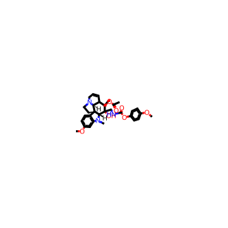 CC[C@]12C=CCN3CC[C@@]4(c5ccc(OC)cc5N(C)[C@H]4C(O)(CNC(=O)Oc4ccc(OC)cc4)[C@@H]1OC(C)=O)[C@@H]32